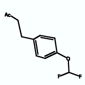 CC(=O)CCc1ccc(OC(F)F)cc1